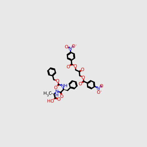 C[C@H](NC(=O)[C@H](Cc1ccccc1)NC(=O)OCc1ccccc1)C(=O)O.O=C(COC(=O)c1ccc([N+](=O)[O-])cc1)COC(=O)c1ccc([N+](=O)[O-])cc1